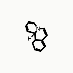 C1=CCC2C(=C1)C=CN1C=CC=C[C@@H]21